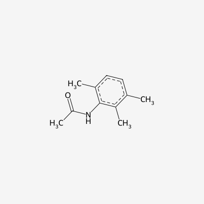 CC(=O)Nc1c(C)ccc(C)c1C